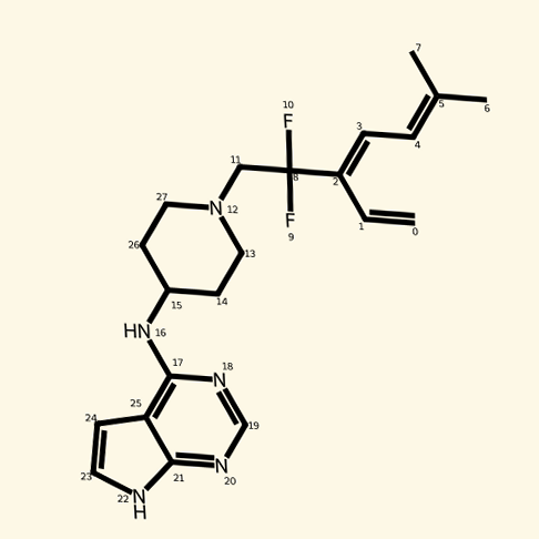 C=C/C(=C\C=C(C)C)C(F)(F)CN1CCC(Nc2ncnc3[nH]ccc23)CC1